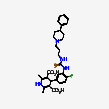 CC1=C(C(=O)O)C(c2ccc(F)c(NC(=S)NCCCN3CCC(c4ccccc4)CC3)c2)C(C(=O)O)=C(C)N1